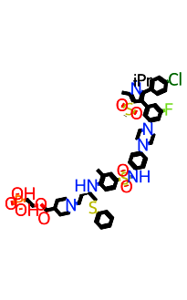 Cc1cc(S(=O)(=O)Nc2ccc(N3CCN(c4cc(F)cc(-c5c(S(C)(=O)=O)c(C)n(C(C)C)c5-c5ccc(Cl)cc5)c4)CC3)cc2)ccc1N[C@H](CCN1CCC(C(=O)OCCP(=O)(O)O)CC1)CSc1ccccc1